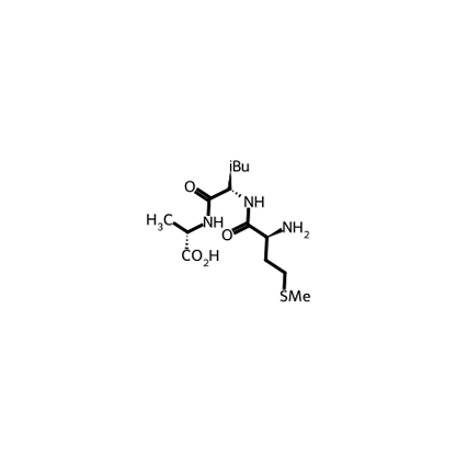 CC[C@H](C)[C@H](NC(=O)[C@@H](N)CCSC)C(=O)N[C@@H](C)C(=O)O